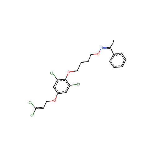 CC(=NOCCCCOc1c(Cl)cc(OCC=C(Cl)Cl)cc1Cl)c1ccccc1